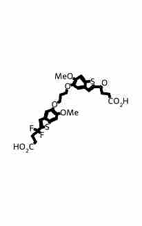 COc1cc2sc(C(=O)CCC(=O)O)cc2cc1OCCCOc1cc2cc(C(F)(F)CCC(=O)O)sc2cc1OC